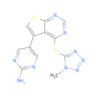 Cn1nnnc1Sc1ncnc2scc(-c3cnc(N)nc3)c12